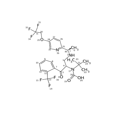 C[C@@H](NCC(C(=O)c1ccccc1C(F)(F)F)N(C(=O)O)C(C)(C)C)c1ccc(OCC(F)(F)F)cn1